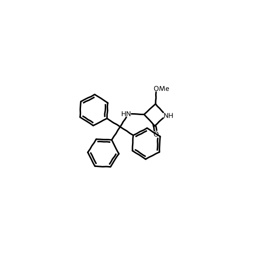 COC1NC(=O)C1NC(c1ccccc1)(c1ccccc1)c1ccccc1